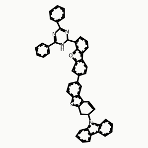 C1=CC(n2c3ccccc3c3ccccc32)Cc2sc3ccc(-c4ccc5c(c4)oc4c(C6N=C(c7ccccc7)N=C(c7ccccc7)N6)cccc45)cc3c21